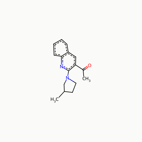 CC(=O)c1cc2ccccc2nc1N1CCC(C)C1